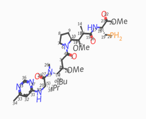 CC[C@H](C)[C@@H]([C@@H](CC(=O)N1CCC[C@H]1[C@H](OC)[C@@H](C)C(=O)N[C@@H](CP)C(=O)OC)OC)N(C)C(=O)[C@@H](Nc1cc(C)ncn1)C(C)C